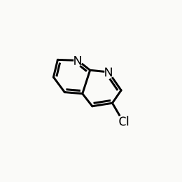 Clc1cnc2ncccc2c1